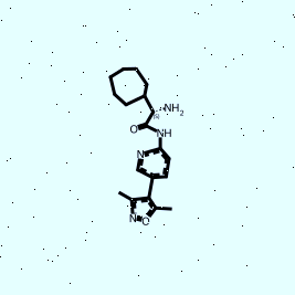 Cc1noc(C)c1-c1ccc(NC(=O)[C@@H](N)C2CCCCCC2)nc1